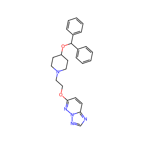 c1ccc(C(OC2CCN(CCOc3ccc4ncnn4n3)CC2)c2ccccc2)cc1